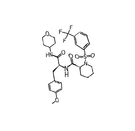 COc1ccc(C[C@H](NC(=O)[C@@H]2CCCCN2S(=O)(=O)c2cccc(C(F)(F)F)c2)C(=O)NC2CCOCC2)cc1